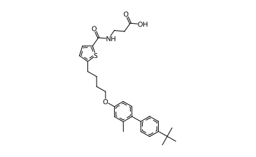 Cc1cc(OCCCCc2ccc(C(=O)NCCC(=O)O)s2)ccc1-c1ccc(C(C)(C)C)cc1